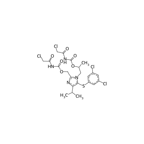 CC(Cn1c(COC(=O)NC(=O)CCl)nc(C(C)C)c1Sc1cc(Cl)cc(Cl)c1)OC(=O)NC(=O)CCl